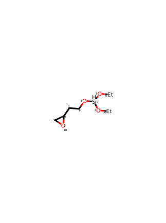 CCO[SiH](OCC)OCCC1CO1